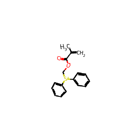 C=C(C)C(=O)OC[S+](c1ccccc1)c1ccccc1